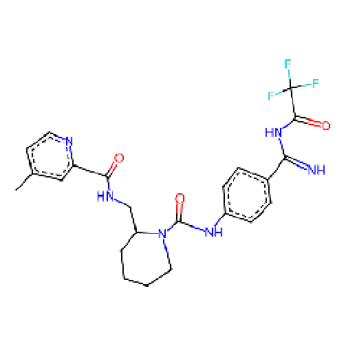 Cc1ccnc(C(=O)NCC2CCCCN2C(=O)Nc2ccc(C(=N)NC(=O)C(F)(F)F)cc2)c1